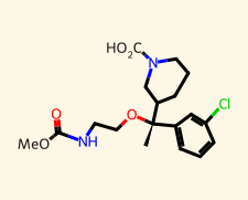 COC(=O)NCCO[C@@](C)(c1cccc(Cl)c1)C1CCCN(C(=O)O)C1